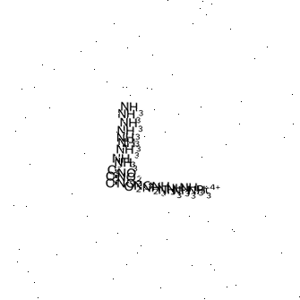 N.N.N.N.N.N.N.N.N.N.N.N.N.N.N.N.O=[N+]([O-])[O-].O=[N+]([O-])[O-].O=[N+]([O-])[O-].O=[N+]([O-])[O-].[Pt+4]